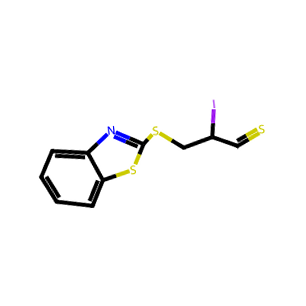 S=[C]C(I)CSc1nc2ccccc2s1